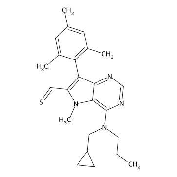 CCCN(CC1CC1)c1ncnc2c(-c3c(C)cc(C)cc3C)c(C=S)n(C)c12